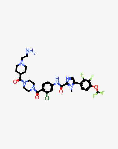 Cn1c(-c2ccc(OC(F)F)c(F)c2F)cnc1C(=O)Nc1ccc(C(=O)N2CCN(C(=O)C3CCN(CCN)CC3)CC2)c(Cl)c1